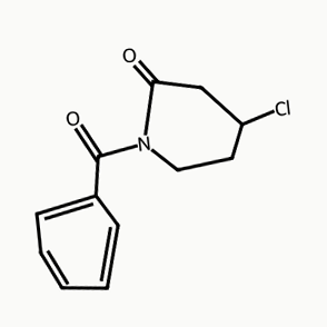 O=C1CC(Cl)CCN1C(=O)c1ccccc1